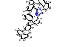 c1ccc(-c2cc(-c3cccc4ccccc34)ccc2-c2cccc(-c3nc(-c4cccc5ccccc45)nc(-c4cccc5ccccc45)n3)c2)cc1